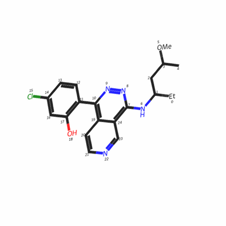 CCC(CC(C)OC)Nc1nnc(-c2ccc(Cl)cc2O)c2ccncc12